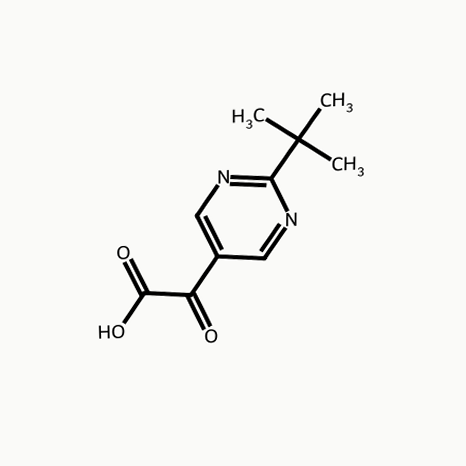 CC(C)(C)c1ncc(C(=O)C(=O)O)cn1